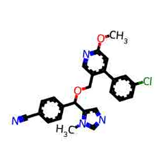 COc1cc(-c2cccc(Cl)c2)c(COC(c2ccc(C#N)cc2)c2cncn2C)cn1